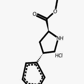 COC(=O)[C@@H]1C[C@@H](c2ccccc2)CN1.Cl